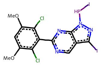 COc1cc(OC)c(Cl)c(-c2ncc3c(I)nn(PI)c3n2)c1Cl